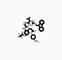 CC(C)[C@H](NC(=O)OCC1c2ccccc2-c2ccccc21)C(=O)N[C@@H](C)C(=O)Nc1ccccc1CCC(=O)O[C@H]1CC[C@H](N)CC1.O=C(O)C(F)(F)F